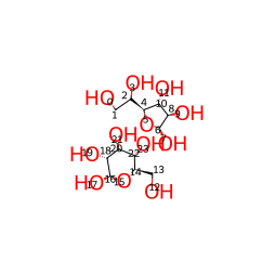 OCC(O)[C@@H]1O[C@H](O)[C@H](O)[C@H]1O.OC[C@H]1O[C@@H](O)[C@H](O)[C@@H](O)[C@@H]1O